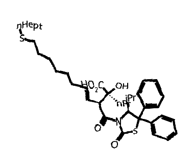 CCCCCCCSCCCCCCC=C[C@H](C(=O)N1C(=O)SC(c2ccccc2)(c2ccccc2)[C@@H]1C(C)C)[C@@](O)(CCC)C(=O)O